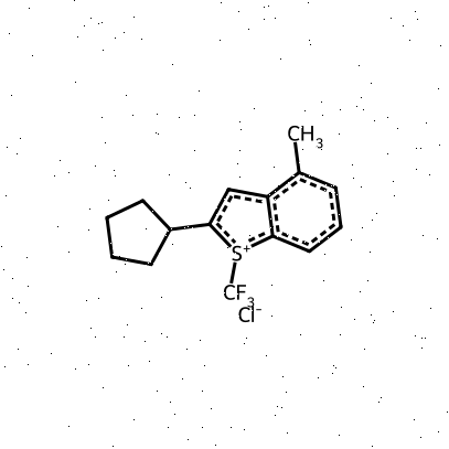 Cc1cccc2c1cc(C1CCCC1)[s+]2C(F)(F)F.[Cl-]